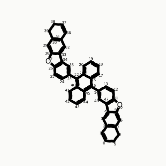 C1=Cc2cc3c(cc2CC1)oc1ccc(-c2c4ccccc4c(-c4ccc5oc6cc7c(cc6c5c4)C=CCC7)c4ccccc24)cc13